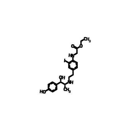 CCOC(=O)CNc1ccc(CCN[C@@H](C)[C@H](O)c2ccc(O)cc2)cc1I